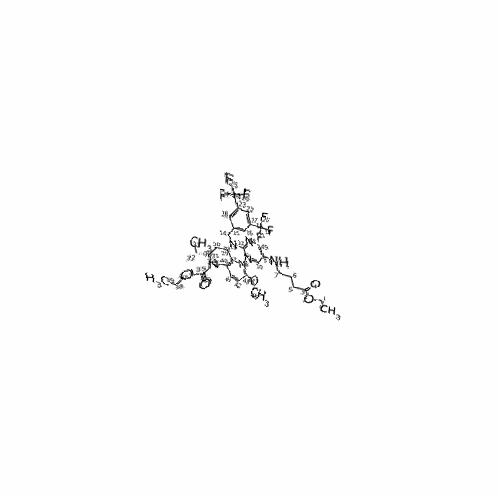 CCOC(=O)CCCNc1cnc(N(Cc2cc(C(F)(F)F)cc(C(F)(F)F)c2)[C@H]2C[C@@H](CC)N(C(=O)OCC)c3ccc(OC)nc32)nc1